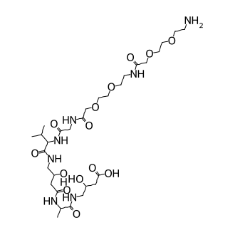 CC(NC(=O)CC(O)CNC(=O)C(NC(=O)CNC(=O)COCCOCCNC(=O)COCCOCCN)C(C)C)C(=O)NCC(O)CC(=O)O